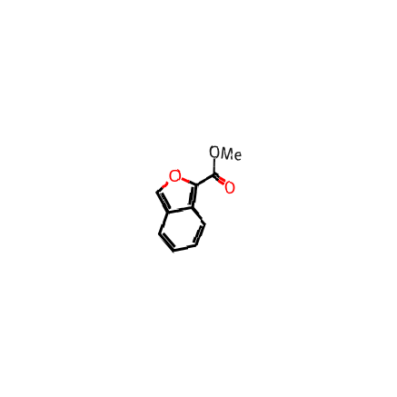 COC(=O)c1occ2ccccc12